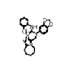 O=C(Nc1ccccc1Cl)N(Cc1nnc2n1CCCCC2)c1ccc2c(c1)OCO2